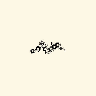 Nc1nccc2c(F)c(C[C@H](C(=O)O)N3CC[C@H](N(c4ccc(N5CCCC5)nc4)[SH](=O)=O)C3=O)ccc12